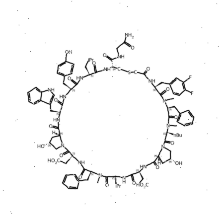 CCCC[C@H]1C(=O)N2C[C@H](O)C[C@@H]2C(=O)N[C@@H](CC(=O)O)C(=O)N[C@@H](C(C)C)C(=O)N(C)[C@@H](Cc2ccccc2)C(=O)N[C@@H](CC(=O)O)C(=O)N2C[C@H](O)C[C@@H]2C(=O)N[C@@H](Cc2c[nH]c3ccccc23)C(=O)N[C@@H](Cc2ccc(O)cc2)C(=O)N[C@@H](CC(C)C)C(=O)N[C@H](C(=O)NCC(N)=O)CSCC(=O)N[C@@H](Cc2ccc(F)c(F)c2)C(=O)N(C)[C@@H](Cc2ccccc2)C(=O)N1C